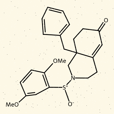 COc1ccc(OC)c([S+]([O-])N2CCC3=CC(=O)CCC3(Cc3ccccc3)C2)c1